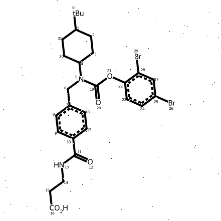 CC(C)(C)C1CCC(N(Cc2ccc(C(=O)NCCC(=O)O)cc2)C(=O)Oc2ccc(Br)cc2Br)CC1